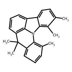 Cc1cccc2c1-n1c3c(cccc3c3ccc(C)c(C)c31)C2(C)C